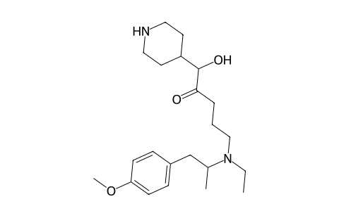 CCN(CCCC(=O)C(O)C1CCNCC1)C(C)Cc1ccc(OC)cc1